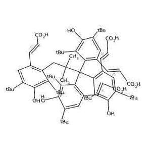 CC(C)(C)c1cc(/C=C/C(=O)O)c(CC(C)(C)C(c2c(/C=C/C(=O)O)cc(C(C)(C)C)c(O)c2C(C)(C)C)(c2c(/C=C/C(=O)O)cc(C(C)(C)C)c(O)c2C(C)(C)C)c2c(/C=C/C(=O)O)cc(C(C)(C)C)c(O)c2C(C)(C)C)c(C(C)(C)C)c1O